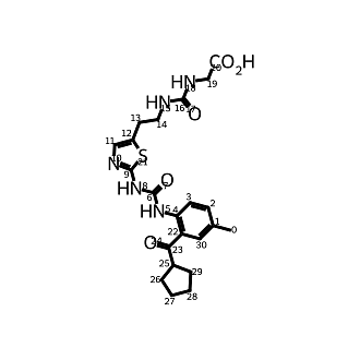 Cc1ccc(NC(=O)Nc2ncc(CCNC(=O)NCC(=O)O)s2)c(C(=O)C2CCCC2)c1